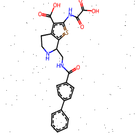 O=C(O)C(=O)Nc1sc2c(c1C(=O)O)CCNC2CNC(=O)c1ccc(-c2ccccc2)cc1